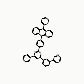 C1=CCCC(c2c3ccccc3c(-c3ccc(-c4nc(-c5ccccc5)cc(-c5cccc(-c6cccnc6)c5)n4)cc3)c3ccccc23)=C1